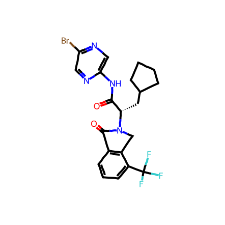 O=C(Nc1cnc(Br)cn1)[C@H](CC1CCCC1)N1Cc2c(cccc2C(F)(F)F)C1=O